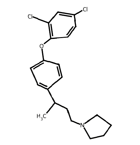 CC(CCN1CCCC1)c1ccc(Oc2ccc(Cl)cc2Cl)cc1